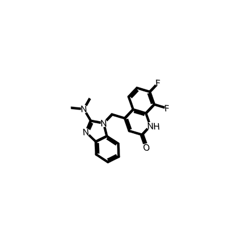 CN(C)c1nc2ccccc2n1Cc1cc(=O)[nH]c2c(F)c(F)ccc12